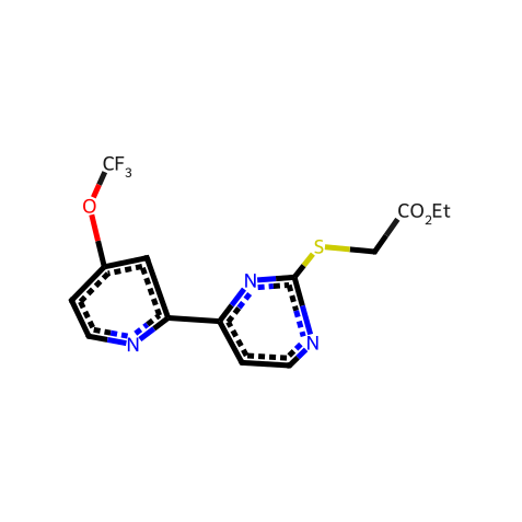 CCOC(=O)CSc1nccc(-c2cc(OC(F)(F)F)ccn2)n1